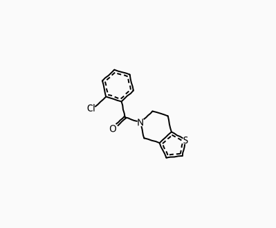 O=C(c1ccccc1Cl)N1CCc2sccc2C1